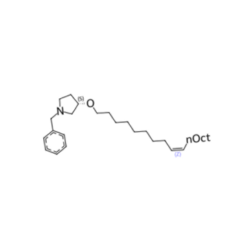 CCCCCCCC/C=C\CCCCCCCCO[C@H]1CCN(Cc2ccccc2)C1